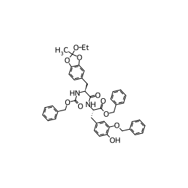 CCOC1(C)Oc2ccc(C[C@H](NC(=O)OCc3ccccc3)C(=O)N[C@@H](Cc3ccc(O)c(OCc4ccccc4)c3)C(=O)OCc3ccccc3)cc2O1